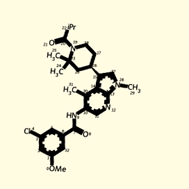 COc1cc(Cl)cc(C(=O)Nc2cnc3c(c([C@@H]4CCN(C(=O)C(C)C)C(C)(C)C4)cn3C)c2C)c1